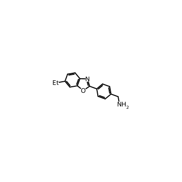 CCc1ccc2nc(-c3ccc(CN)cc3)oc2c1